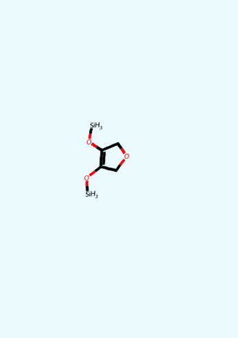 [SiH3]OC1=C(O[SiH3])COC1